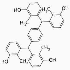 Cc1c(O)cccc1C(c1ccc(C(c2cccc(O)c2C)c2cccc(O)c2C)cc1)c1cccc(O)c1C